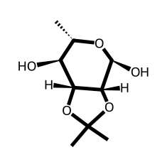 C[C@@H]1O[C@@H](O)[C@@H]2OC(C)(C)O[C@@H]2[C@H]1O